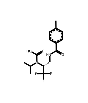 Cc1ccc(C(=O)NC[C@@H](N(C(=O)O)C(C)C)C(F)(F)F)cc1